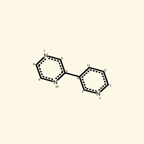 c1cncc(-c2cnccn2)c1